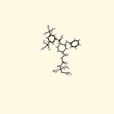 CC(C)(CN)NC(=O)CNC1CCN(C(=O)c2cc(C(F)(F)F)cc(C(F)(F)F)c2)C(Cc2ccccc2)C1